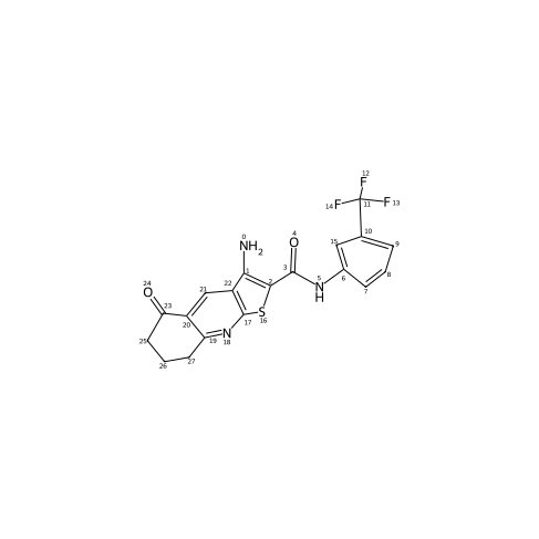 Nc1c(C(=O)Nc2cccc(C(F)(F)F)c2)sc2nc3c(cc12)C(=O)CCC3